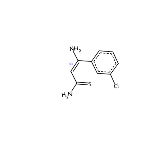 NC(=S)/C=C(/N)c1cccc(Cl)c1